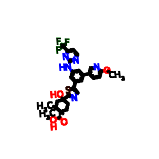 COc1ccc(-c2cc(Nc3nccc(C(F)(F)F)n3)cc(-c3cnc([C@@]4(O)CC[C@H](C(=O)O)C(C)(C)C4)s3)c2)cn1